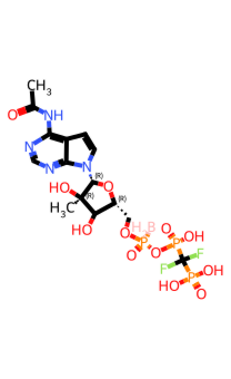 BP(=O)(OC[C@H]1O[C@@H](n2ccc3c(NC(C)=O)ncnc32)[C@](C)(O)C1O)OP(=O)(O)C(F)(F)P(=O)(O)O